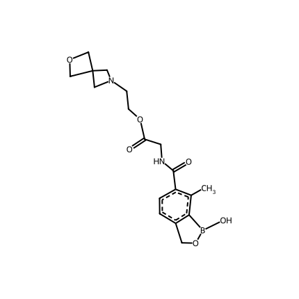 Cc1c(C(=O)NCC(=O)OCCN2CC3(COC3)C2)ccc2c1B(O)OC2